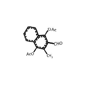 CC(=O)Oc1c(C)c(C=O)c(OC(C)=O)c2ccccc12